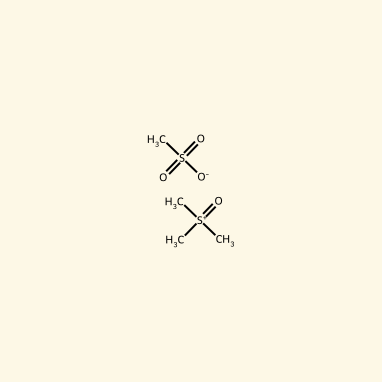 CS(=O)(=O)[O-].C[S+](C)(C)=O